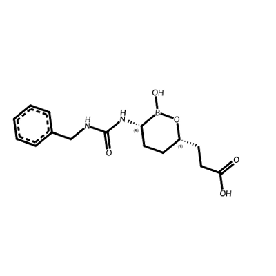 O=C(O)CC[C@@H]1CC[C@H](NC(=O)NCc2ccccc2)B(O)O1